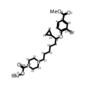 COC(=O)c1ccc(OC(CCCCCN2CCN(C(=O)OC(C)(C)C)CC2)C2CC2)c(Br)c1